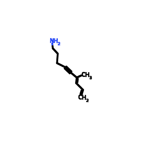 C=C/C=C(\C)C#CCCCN